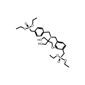 CCOP(=O)(Cc1ccc(CN(Cc2ccc(CP(=O)(OCC)OCC)cc2)C(CO)(CO)CO)cc1)OCC